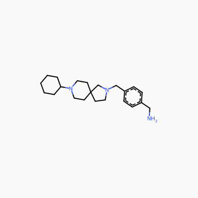 NCc1ccc(CN2CCC3(CCN(C4CCCCC4)CC3)C2)cc1